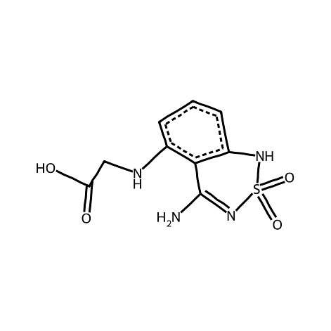 NC1=NS(=O)(=O)Nc2cccc(NCC(=O)O)c21